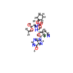 COc1ncnc2c1ncn2[C@@H]1O[C@H](COP(=O)(N[C@@H](C)C(=O)OC(C)C)Oc2ccccc2)C(C)(CC#N)C1F